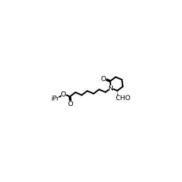 CC(C)OC(=O)CCCCCCN1C(=O)CCC[C@@H]1C=O